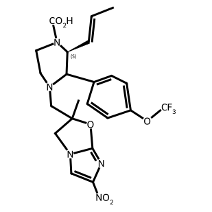 CC=C[C@H]1C(c2ccc(OC(F)(F)F)cc2)N(CC2(C)Cn3cc([N+](=O)[O-])nc3O2)CCN1C(=O)O